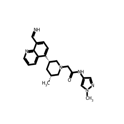 C[C@@H]1C[C@H](c2ccc(C=N)c3ncccc23)CN(CC(=O)Nc2cnn(C)c2)C1